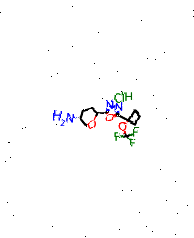 Cl.N[C@@H]1CC[C@@H](c2nnc(C3(OC(F)(F)F)CCC3)o2)OC1